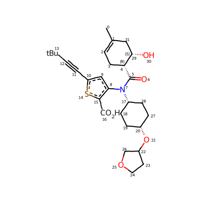 CC1=CC[C@@H](C(=O)N(c2cc(C#CC(C)(C)C)sc2C(=O)O)[C@H]2CC[C@@H](OC3CCOC3)CC2)[C@@H](O)C1